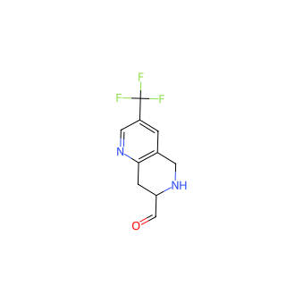 O=CC1Cc2ncc(C(F)(F)F)cc2CN1